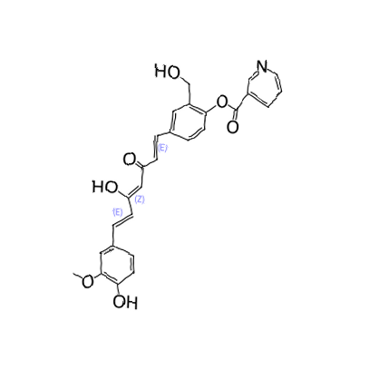 COc1cc(/C=C/C(O)=C/C(=O)/C=C/c2ccc(OC(=O)c3cccnc3)c(CO)c2)ccc1O